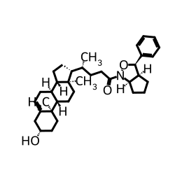 C[C@H](CCC(=O)N1O[C@@H](c2ccccc2)[C@H]2CCC[C@H]21)[C@H]1CC[C@H]2[C@@H]3CC=C4C[C@@H](O)CC[C@]4(C)[C@H]3CC[C@]12C